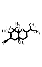 CC(C)C1CCC2(C)CC(C#N)=C(O)C(C)(C)[C@@H]2O1